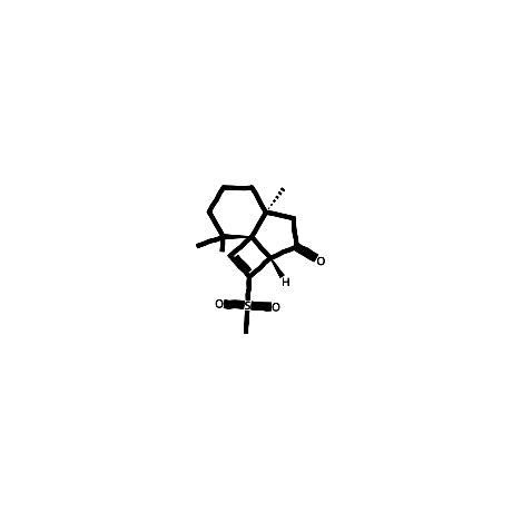 CC1(C)CCC[C@@]2(C)CC(=O)[C@@H]3C(S(C)(=O)=O)=C[C@]312